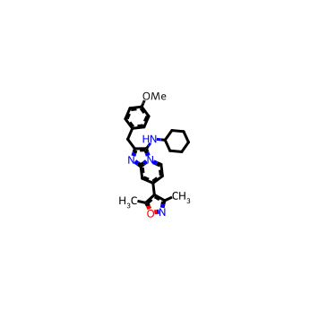 COc1ccc(Cc2nc3cc(-c4c(C)noc4C)ccn3c2NC2CCCCC2)cc1